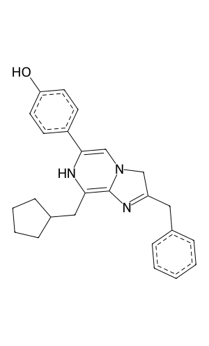 Oc1ccc(C2=CN3CC(Cc4ccccc4)=NC3=C(CC3CCCC3)N2)cc1